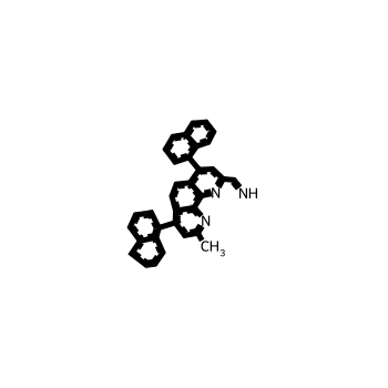 Cc1cc(-c2cccc3ccccc23)c2ccc3c(-c4cccc5ccccc45)cc(C=N)nc3c2n1